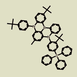 Cc1cc2c3c(c1)N(c1ccc(S(c4ccccc4)(c4ccccc4)c4ccccc4)cc1C(C)(C)C)c1ccccc1B3c1cc(C(C)(C)C)ccc1N2c1ccc(C(C)(C)C)cc1